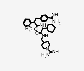 Cc1ccccc1C(Cc1ccc(C(=N)N)cc1)C(=O)N[C@H](C(=O)NCC1CCN(C(=N)N)CC1)C1CCCCC1